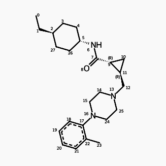 CC[C@H]1CC[C@H](NC(=O)[C@@H]2C[C@H]2CN2CCN(c3ccccc3C)CC2)CC1